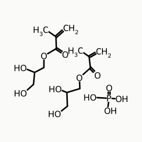 C=C(C)C(=O)OCC(O)CO.C=C(C)C(=O)OCC(O)CO.O=P(O)(O)O